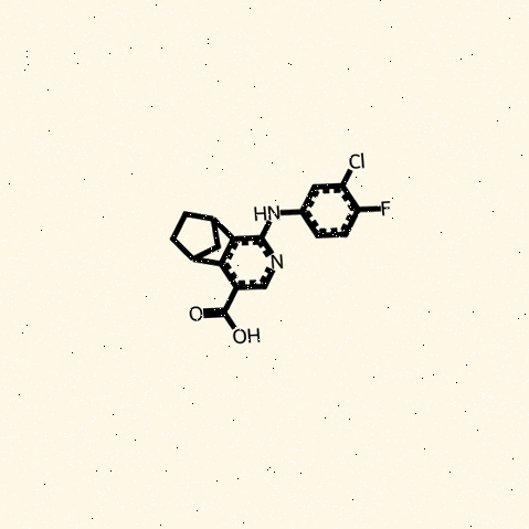 O=C(O)c1cnc(Nc2ccc(F)c(Cl)c2)c2c1C1CCC2C1